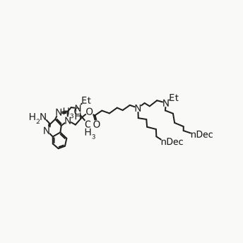 CCCCCCCCCCCCCCCN(CC)CCCN(CCCCCCCCCCCCCCC)CCCCCC(=O)OC(C)(C)Cn1c(CNCC)nc2c(N)nc3ccccc3c21